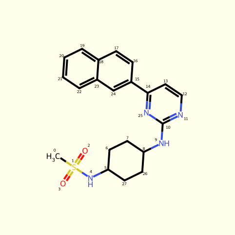 CS(=O)(=O)NC1CCC(Nc2nccc(-c3ccc4ccccc4c3)n2)CC1